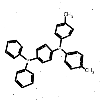 Cc1ccc(P(c2ccc(C)cc2)c2ccc(P(c3ccccc3)c3ccccc3)cc2)cc1